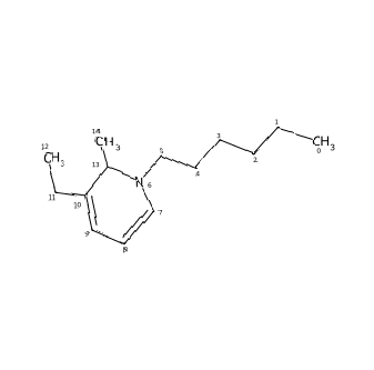 CCCCCCN1C=CC=C(CC)C1C